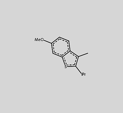 COc1ccc2c(C)c(C(C)C)sc2c1